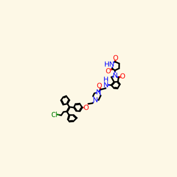 O=C1CCC(N2Cc3c(NCC(=O)N4CCN(CCOc5ccc(C(=C(CCCl)c6ccccc6)c6ccccc6)cc5)CC4)cccc3C2=O)C(=O)N1